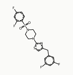 O=S(=O)(c1ccc(F)cc1F)N1CCN(c2nc(Cc3cc(F)cc(F)c3)cs2)CC1